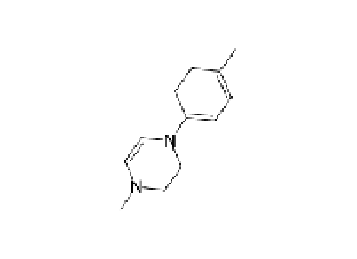 CC1=CC=C(N2C=CN(C)CC2)CC1